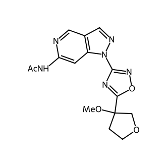 COC1(c2nc(-n3ncc4cnc(NC(C)=O)cc43)no2)CCOC1